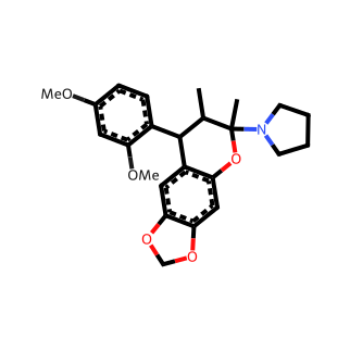 COc1ccc(C2c3cc4c(cc3OC(C)(N3CCCC3)C2C)OCO4)c(OC)c1